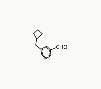 O=Cc1cccc(CC2CCC2)c1